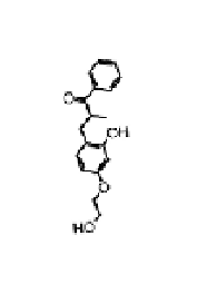 CC(Cc1ccc(OCCO)cc1O)C(=O)c1ccccc1